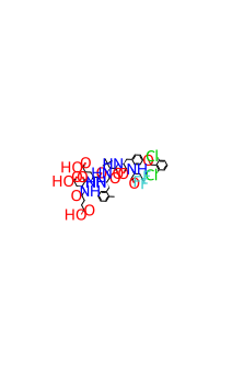 Cc1ccccc1C[C@H](NC(=O)[C@H](CCC(=O)O)NC(=O)[C@H](CC(=O)O)NC(=O)CCC(=O)O)C(=O)N[C@H](C(=O)N[C@@H](Cc1ccc(OCc2c(Cl)cccc2Cl)cc1)C(=O)NC(C=O)CC(F)(F)F)C(C)(C)C